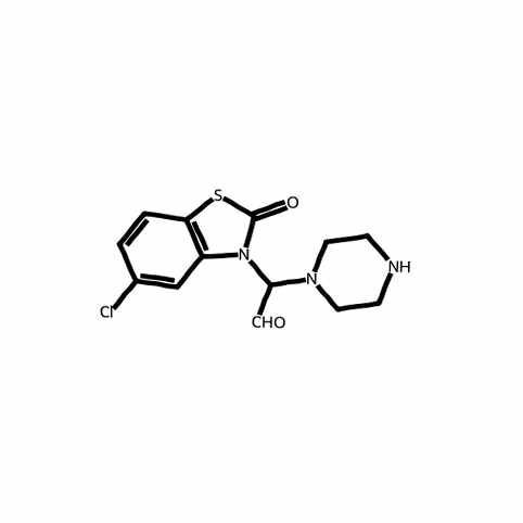 O=CC(N1CCNCC1)n1c(=O)sc2ccc(Cl)cc21